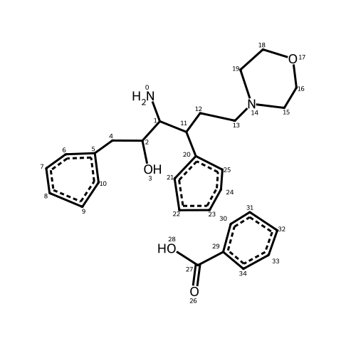 NC(C(O)Cc1ccccc1)C(CCN1CCOCC1)c1ccccc1.O=C(O)c1ccccc1